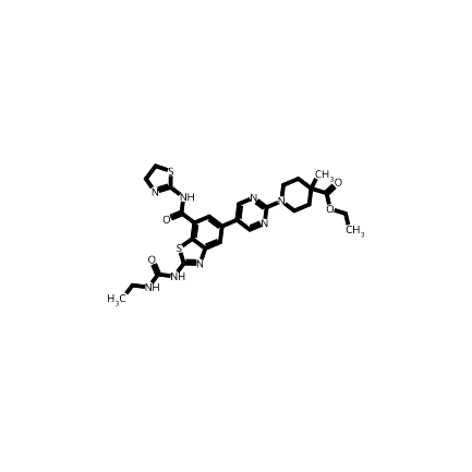 CCNC(=O)Nc1nc2cc(-c3cnc(N4CCC(C)(C(=O)OCC)CC4)nc3)cc(C(=O)NC3=NCCS3)c2s1